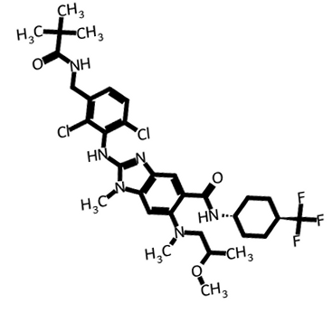 COC(C)CN(C)c1cc2c(cc1C(=O)N[C@H]1CC[C@H](C(F)(F)F)CC1)nc(Nc1c(Cl)ccc(CNC(=O)C(C)(C)C)c1Cl)n2C